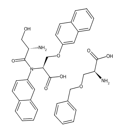 N[C@@H](CO)C(=O)N(c1ccc2ccccc2c1)[C@@H](COc1ccc2ccccc2c1)C(=O)O.N[C@@H](COCc1ccccc1)C(=O)O